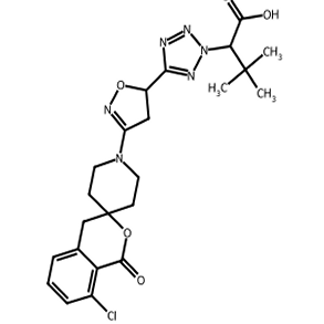 CC(C)(C)C(C(=O)O)n1nnc(C2CC(N3CCC4(CC3)Cc3cccc(Cl)c3C(=O)O4)=NO2)n1